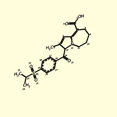 CC1=CC2=C(C(=O)O)CCCCN2C1C(=O)c1ccc(S(=O)(=O)C(C)C)cc1